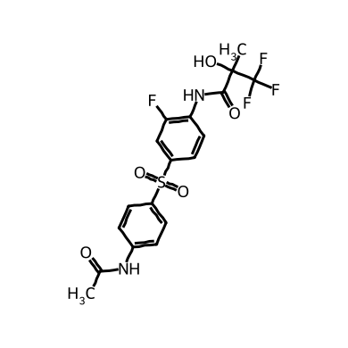 CC(=O)Nc1ccc(S(=O)(=O)c2ccc(NC(=O)C(C)(O)C(F)(F)F)c(F)c2)cc1